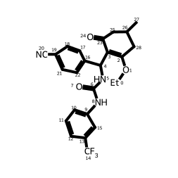 CCOC1=C(C(NC(=O)Nc2cccc(C(F)(F)F)c2)c2ccc(C#N)cc2)C(=O)CC(C)C1